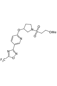 COCCS(=O)(=O)N1CCC(Oc2ccc(-c3noc(C(F)(F)F)n3)cn2)C1